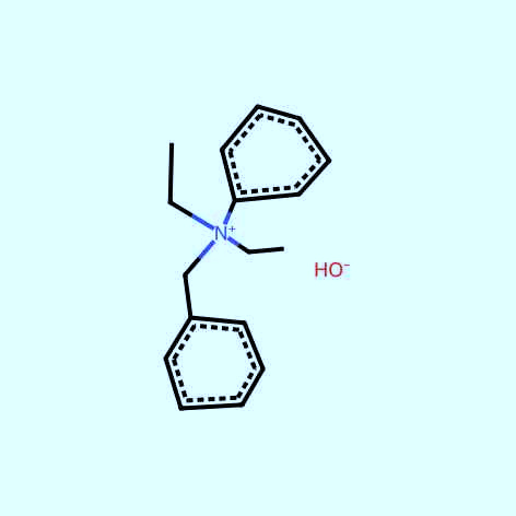 CC[N+](CC)(Cc1ccccc1)c1ccccc1.[OH-]